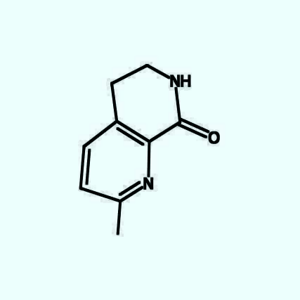 Cc1ccc2c(n1)C(=O)NCC2